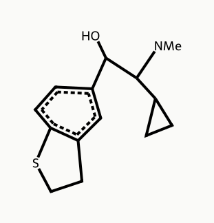 CNC(C1CC1)C(O)c1ccc2c(c1)CCS2